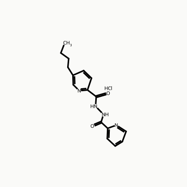 CCCCc1ccc(C(=O)NNC(=O)c2ccccn2)nc1.Cl